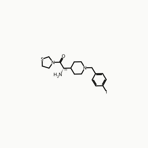 N[C@H](C(=O)N1CCSC1)C1CCN(Cc2ccc(I)cc2)CC1